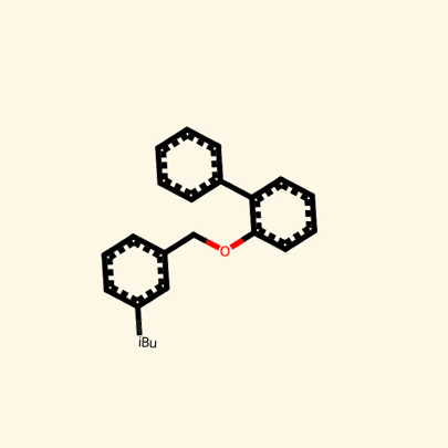 CCC(C)c1cccc(COc2ccccc2-c2ccccc2)c1